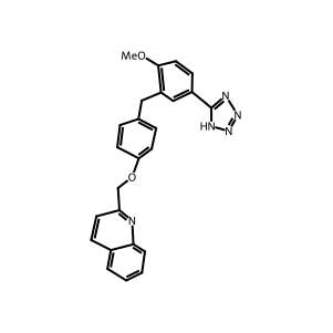 COc1ccc(-c2nnn[nH]2)cc1Cc1ccc(OCc2ccc3ccccc3n2)cc1